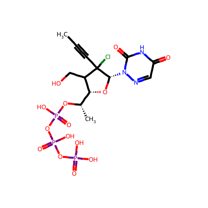 CC#CC1(Cl)C(CO)[C@@H]([C@H](C)OP(=O)(O)OP(=O)(O)OP(=O)(O)O)O[C@H]1n1ncc(=O)[nH]c1=O